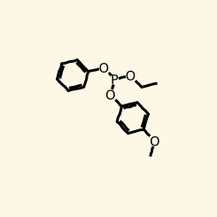 CCOP(Oc1ccccc1)Oc1ccc(OC)cc1